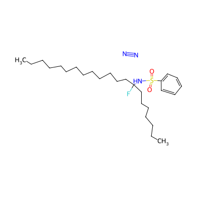 CCCCCCCCCCCCCC(F)(CCCCCCC)NS(=O)(=O)c1ccccc1.N#N